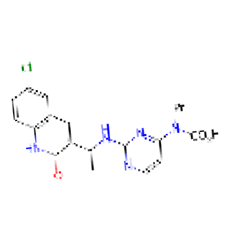 CC(Nc1nccc(N(C(=O)O)C(C)C)n1)c1cc2cc(Cl)ccc2[nH]c1=O